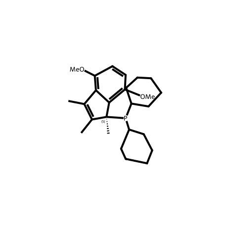 COc1ccc(OC)c2c1C(C)=C(C)[C@]2(C)P(C1CCCCC1)C1CCCCC1